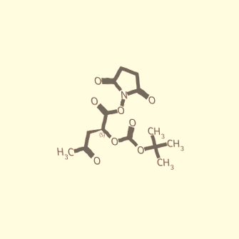 CC(=O)C[C@H](OC(=O)OC(C)(C)C)C(=O)ON1C(=O)CCC1=O